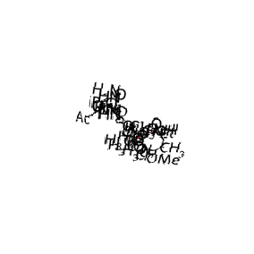 CC[C@@H]1/C=C/C=C(\C)Cc2cc(OC)c(Cl)c(c2)N(C)C(=O)C[C@H](OC(=O)[C@H](C)N(C)C(=O)CCN(C)C(=O)OCc2ccc(NC(=O)[C@H](CCCNC(N)=O)NC(=O)[C@@H](NC(=O)CCCCC(C)=O)C(C)C)cc2)[C@]2(C)O[C@H]2[C@H](C)[C@@H]2C[C@@]1(O)NC(=O)O2